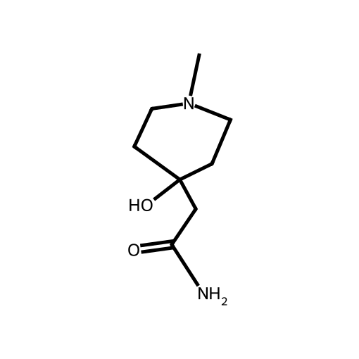 CN1CCC(O)(CC(N)=O)CC1